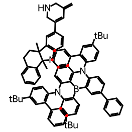 C=C1C=C(c2ccc3c(c2)C2(C)CCc4ccccc4C2(C)N3c2cc3c4c(c2)N(c2ccc(C(C)(C)C)cc2-c2ccccc2)c2cc(C(C)(C)C)ccc2B4c2cc(-c4ccccc4)ccc2N3c2ccc(C(C)(C)C)cc2-c2ccccc2)CNC1